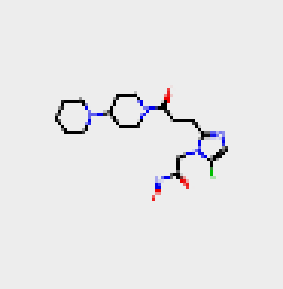 O=NC(=O)Cn1c(Cl)cnc1CCC(=O)N1CCC(N2CCCCC2)CC1